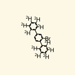 [2H]c1c([2H])c([2H])c(-c2ccc(-c3c([2H])c([2H])c([2H])c([2H])c3[2H])c(Br)c2)c([2H])c1[2H]